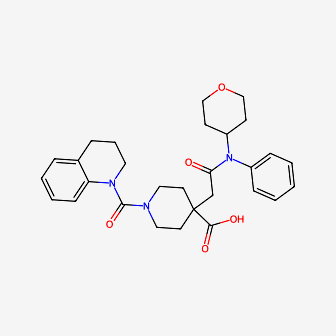 O=C(N1CCC(CC(=O)N(c2ccccc2)C2CCOCC2)(C(=O)O)CC1)N1CCCc2ccccc21